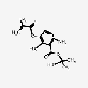 C=C(C)C(=O)Oc1ccc(N)c(C(=O)OC(C)(C)C)c1C